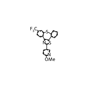 COc1ccc(-c2nc3c(s2)-c2ccccc2Sc2cc(C(F)(F)F)ccc2-3)cn1